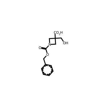 O=C(OCc1ccccc1)N1CC(CO)(C(=O)O)C1